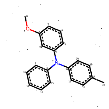 COc1cccc(N(c2ccccc2)c2ccc(C)cc2)c1